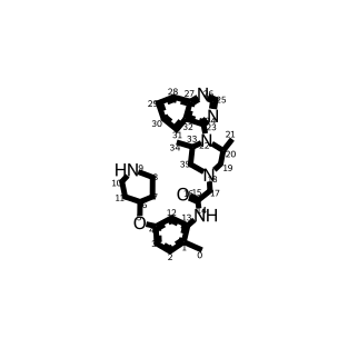 Cc1ccc(OC2CCNCC2)cc1NC(=O)CN1CC(C)N(c2ncnc3ccccc23)C(C)C1